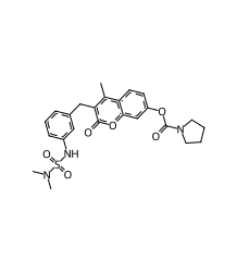 Cc1c(Cc2cccc(NS(=O)(=O)N(C)C)c2)c(=O)oc2cc(OC(=O)N3CCCC3)ccc12